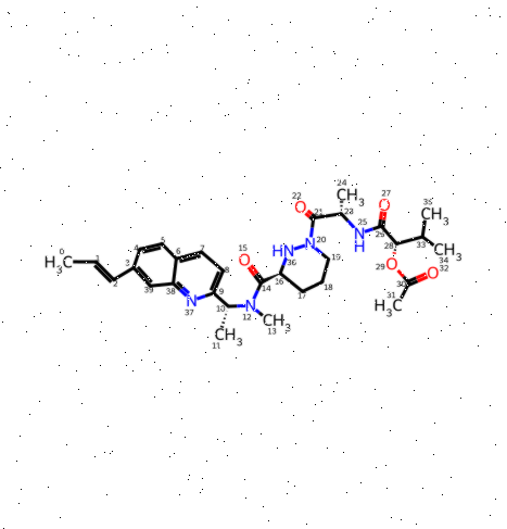 C/C=C/c1ccc2ccc([C@@H](C)N(C)C(=O)[C@@H]3CCCN(C(=O)[C@H](C)NC(=O)[C@@H](OC(C)=O)C(C)C)N3)nc2c1